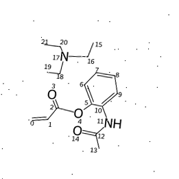 C=CC(=O)Oc1ccccc1NC(C)=O.CCN(CC)CC